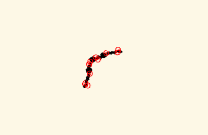 C=CC(=O)OCCCCCCOc1ccc(C=COCOc2ccc(OC(=O)C=Cc3ccc(OCCCCCCOC(=O)C=C)cc3)cc2C)cc1